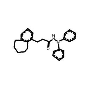 O=C(CCc1cccc2c1CCC[CH]C2)NN(c1ccccc1)c1ccccc1